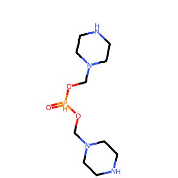 O=[PH](OCN1CCNCC1)OCN1CCNCC1